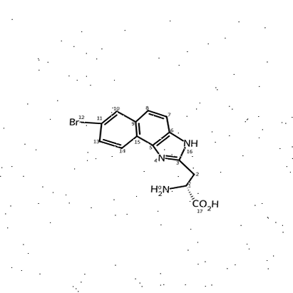 N[C@H](Cc1nc2c(ccc3cc(Br)ccc32)[nH]1)C(=O)O